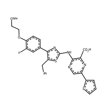 COCCOc1ccc(-c2nc(Nc3ncc(-c4cccs4)nc3C(=O)O)sc2CC(C)C)cc1F